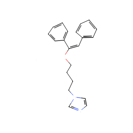 C(=C(\OCCCCn1ccnc1)c1ccccc1)/c1ccccc1.Cl